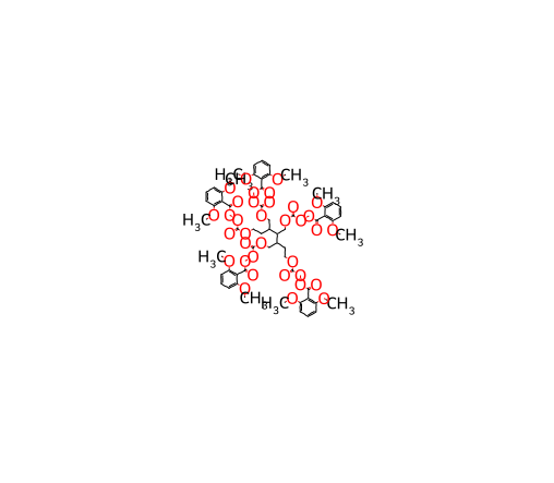 COc1cccc(OC)c1C(=O)OOC(=O)OCCC(COC(=O)OOC(=O)c1c(OC)cccc1OC)C(COC(=O)OOC(=O)c1c(OC)cccc1OC)C(CCOC(=O)OOC(=O)c1c(OC)cccc1OC)COC(=O)OOC(=O)c1c(OC)cccc1OC